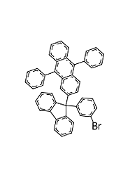 Brc1cccc(C2(c3ccc4c(-c5ccccc5)c5ccccc5c(-c5ccccc5)c4c3)c3ccccc3-c3ccccc32)c1